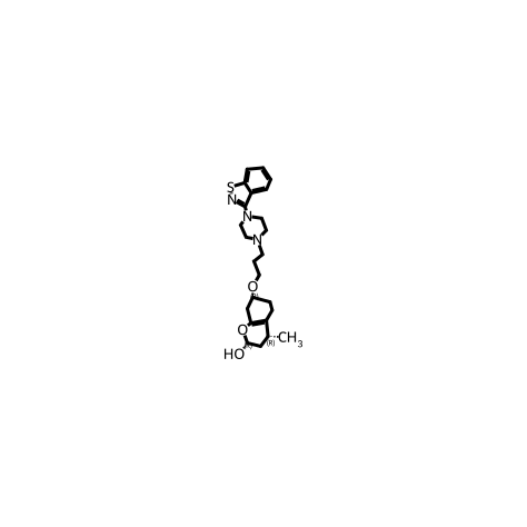 C[C@@H]1C[C@H](O)OC2=C1CC[C@@H](OCCCN1CCN(c3nsc4ccccc34)CC1)C2